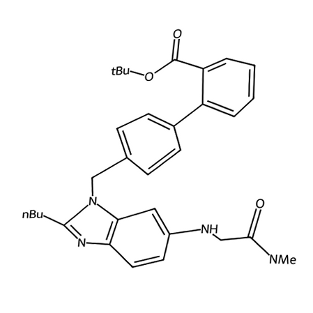 CCCCc1nc2ccc(NCC(=O)NC)cc2n1Cc1ccc(-c2ccccc2C(=O)OC(C)(C)C)cc1